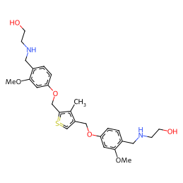 COc1cc(OCc2csc(COc3ccc(CNCCO)c(OC)c3)c2C)ccc1CNCCO